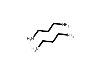 NCCCN.NCCCN